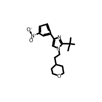 CC(C)(C)c1nc(-c2cccc([N+](=O)[O-])c2)cn1CCC1CCOCC1